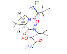 CC(C)(C)[C@H](NCl)C(=O)N1C[C@H]2[C@@H]([C@H]1C(=O)NC(C1CC1)C(O)C(N)=O)C2(C)C